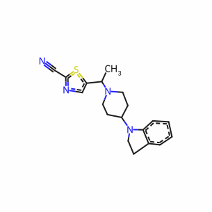 CC(c1cnc(C#N)s1)N1CCC(N2CCc3ccccc32)CC1